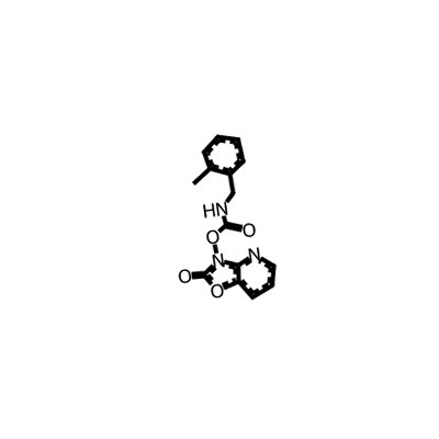 Cc1ccccc1CNC(=O)On1c(=O)oc2cccnc21